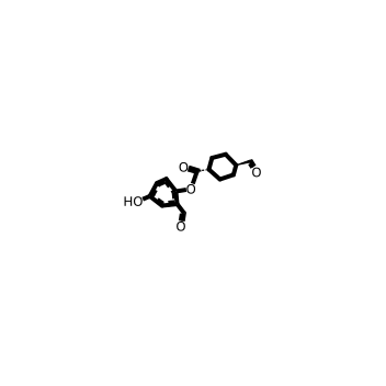 O=Cc1cc(O)ccc1OC(=O)[C@H]1CC[C@H](C=O)CC1